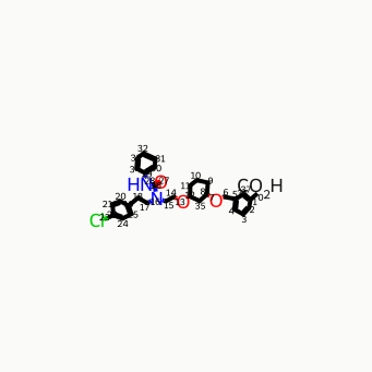 Cc1cccc(COC2CCC[C@H](OCCN(CCc3ccc(Cl)cc3)C(=O)Nc3ccccc3)C2)c1C(=O)O